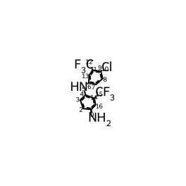 Nc1ccc(Nc2ccc(Cl)c(C(F)(F)F)c2)c(C(F)(F)F)c1